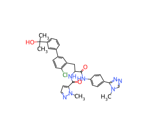 Cn1cnnc1-c1ccc(NC(=O)C(Cc2cc(-c3cccc(C(C)(C)O)c3)ccc2Cl)NC(=O)c2ccnn2C)cc1